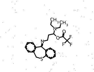 CCN(CC)C(CCN=C1c2ccccc2CSc2ccccc21)OC(=O)C(F)(F)F